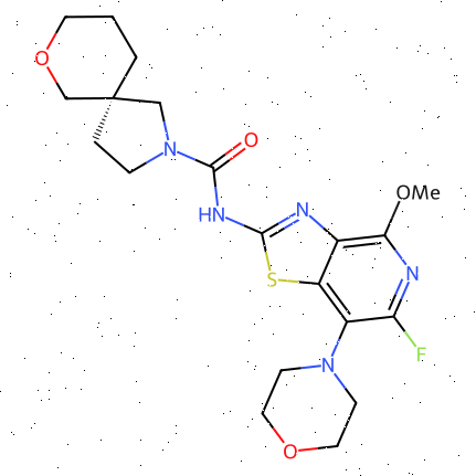 COc1nc(F)c(N2CCOCC2)c2sc(NC(=O)N3CC[C@]4(CCCOC4)C3)nc12